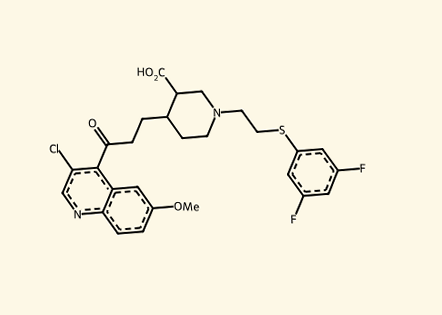 COc1ccc2ncc(Cl)c(C(=O)CCC3CCN(CCSc4cc(F)cc(F)c4)CC3C(=O)O)c2c1